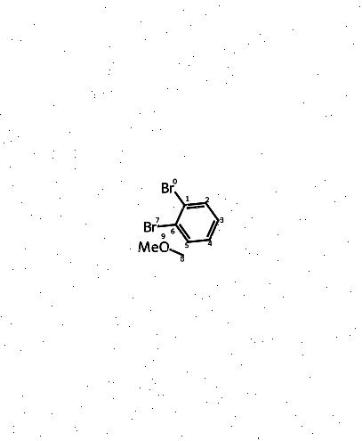 Brc1ccccc1Br.COC